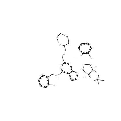 CC1(C)O[C@@H]2[C@H](O1)[C@@H](Cc1ccccc1C(=O)O)O[C@H]2n1ncc2c(NCc3ccccc3Cl)nc(COC3CCCCO3)nc21